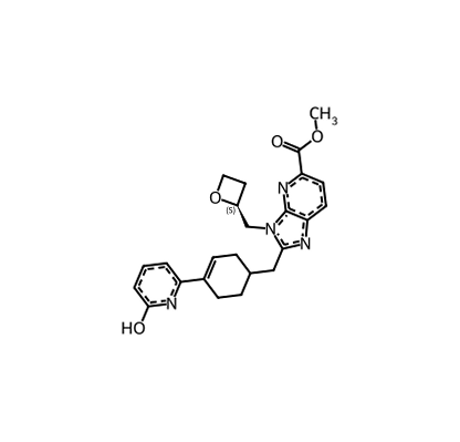 COC(=O)c1ccc2nc(CC3CC=C(c4cccc(O)n4)CC3)n(C[C@@H]3CCO3)c2n1